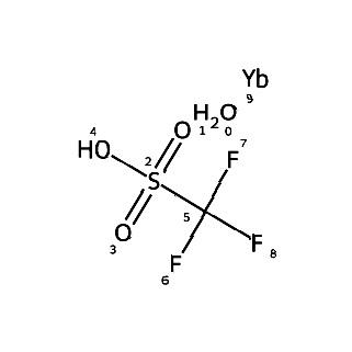 O.O=S(=O)(O)C(F)(F)F.[Yb]